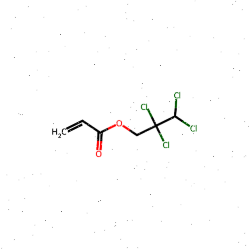 C=CC(=O)OCC(Cl)(Cl)C(Cl)Cl